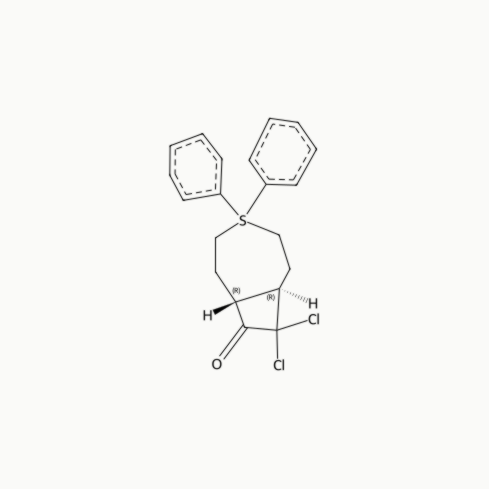 O=C1[C@@H]2CCS(c3ccccc3)(c3ccccc3)CC[C@H]2C1(Cl)Cl